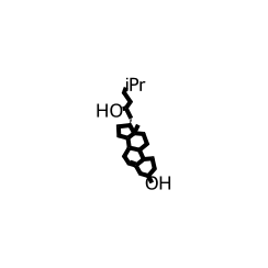 CC(C)CCC(O)C[C@H]1CCC2C3CC=C4CC(O)CCC4C3CCC21C